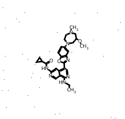 CCNc1ncc(-c2nc3cc(N4CCN(C)CC(OC)C4)ccc3o2)c2cc(NC(=O)C3CC3)ncc12